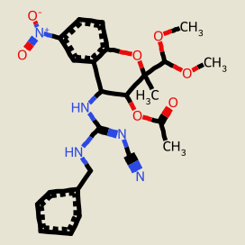 COC(OC)C1(C)Oc2ccc([N+](=O)[O-])cc2C(NC(=NC#N)NCc2ccccc2)C1OC(C)=O